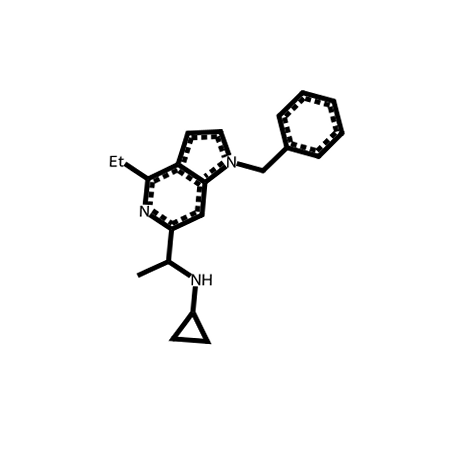 CCc1nc(C(C)NC2CC2)cc2c1ccn2Cc1ccccc1